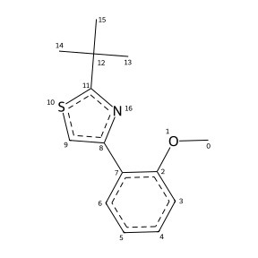 COc1ccccc1-c1csc(C(C)(C)C)n1